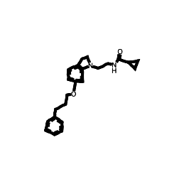 O=C(NCCN1CCc2ccc(OCCCc3ccccc3)cc21)C1CC1